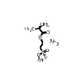 C=C(C)C(=O)OCCS(=O)(=O)OCCC.N